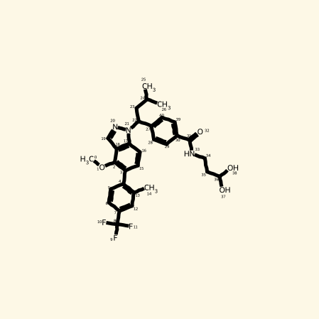 COc1c(-c2ccc(C(F)(F)F)cc2C)ccc2c1cnn2C(CC(C)C)c1ccc(C(=O)NCCC(O)O)cc1